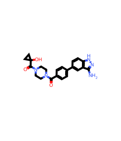 Nc1n[nH]c2ccc(-c3ccc(C(=O)N4CCN(C(=O)C5(O)CC5)CC4)cc3)cc12